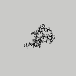 CCOC(=O)c1ccc(OCC(O)CSc2nc3c(N)ncnc3n2[C@@H]2O[C@H](COC(=O)c3cc(OC)c(OC)c(OC)c3)[C@@H](O)[C@H]2O)cc1